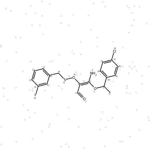 CC(O/C(N)=C(\C=O)OSCc1cccc(F)c1)c1ccc(Cl)cc1